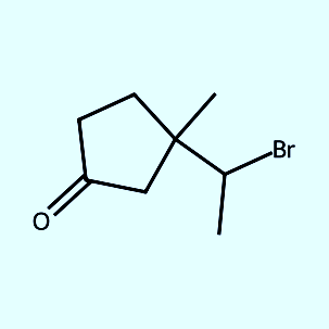 CC(Br)C1(C)CCC(=O)C1